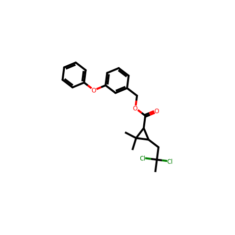 CC(Cl)(Cl)CC1C(C(=O)OCc2cccc(Oc3ccccc3)c2)C1(C)C